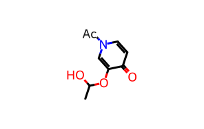 CC(=O)n1ccc(=O)c(OC(C)O)c1